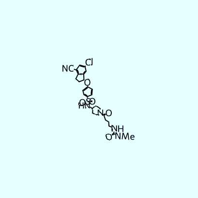 CNC(=O)NCCCC(=O)N1CCC(NS(=O)(=O)c2ccc(O[C@@H]3CCc4c(C#N)cc(Cl)cc43)cc2)CC1